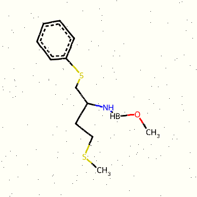 COBNC(CCSC)CSc1ccccc1